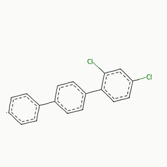 Clc1ccc(-c2ccc(-c3cc[c]cc3)cc2)c(Cl)c1